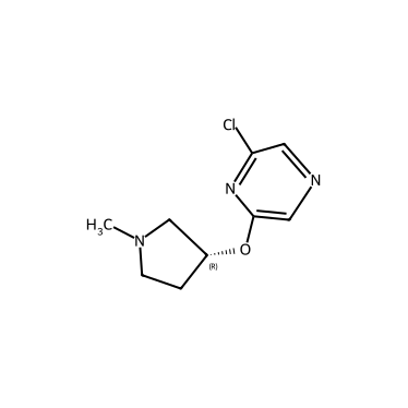 CN1CC[C@@H](Oc2cncc(Cl)n2)C1